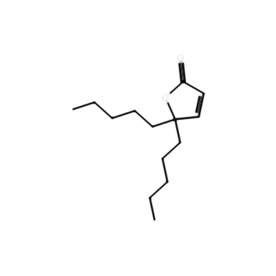 CCCCCC1(CCCCC)C=CC(=O)O1